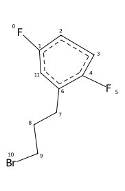 Fc1ccc(F)c(CCCBr)c1